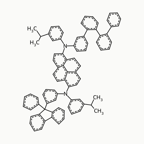 CC(C)c1cccc(N(c2cccc(-c3ccccc3-c3ccccc3-c3ccccc3)c2)c2ccc3ccc4c(N(c5cccc(C(C)C)c5)c5cccc(C6(c7ccccc7)c7ccccc7-c7ccccc76)c5)ccc5ccc2c3c54)c1